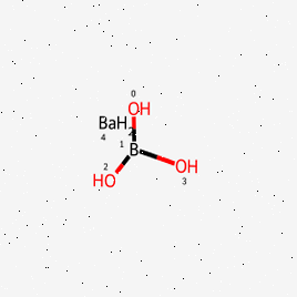 OB(O)O.[BaH2]